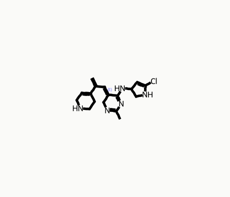 C=C(/C=C1\CN=C(C)N=C1NC1C=C(Cl)NC1)C1=CCNCC1